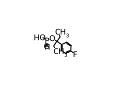 CCC(CC)(O[PH](=O)O)c1ccc(F)cc1